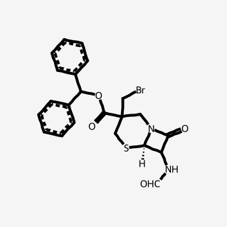 O=CNC1C(=O)N2CC(CBr)(C(=O)OC(c3ccccc3)c3ccccc3)CS[C@H]12